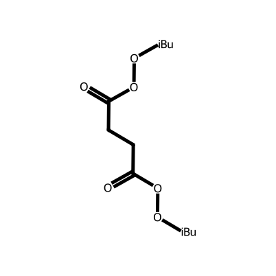 CCC(C)OOC(=O)CCC(=O)OOC(C)CC